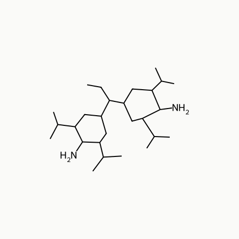 CCC(C1CC(C(C)C)C(N)C(C(C)C)C1)C1CC(C(C)C)C(N)C(C(C)C)C1